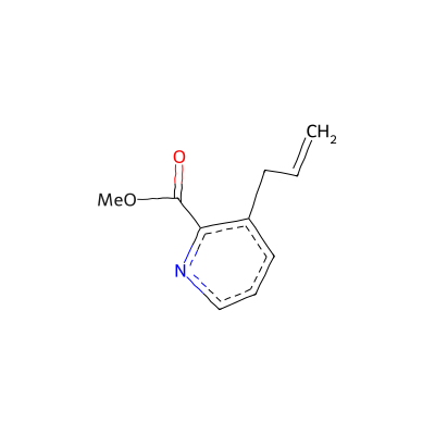 C=CCc1cccnc1C(=O)OC